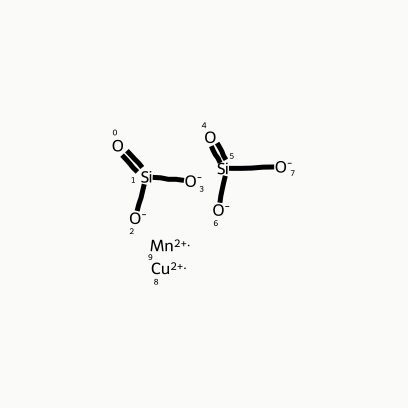 O=[Si]([O-])[O-].O=[Si]([O-])[O-].[Cu+2].[Mn+2]